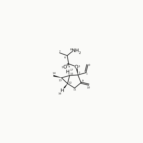 C=C[C@]1(OC(=O)C(C)N)C(=C)C[C@@H]2[C@@H](C)[C@H]21